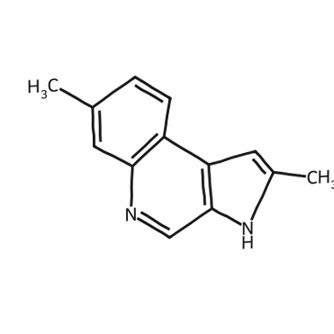 Cc1ccc2c(c1)ncc1[nH]c(C)cc12